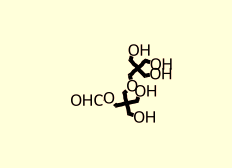 O=COCC(CO)(CO)COCC(CO)(CO)CO